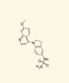 COc1ccc2c(N3CCc4cc(NS(N)(=O)=O)ccc43)ccnc2c1